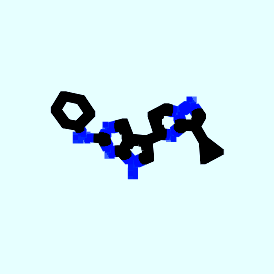 c1cn2ncc(C3CC3)c2nc1-c1c[nH]c2nc(NC3CCCCC3)ncc12